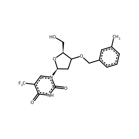 Cc1cccc(COC2C[C@@H](n3cc(C(F)(F)F)c(=O)[nH]c3=O)O[C@H]2CO)c1